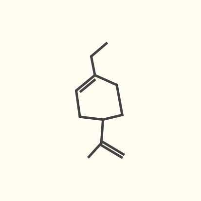 C=C(C)C1CC=C(CC)CC1